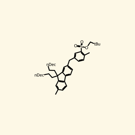 CCCCCCCCCCCCC1(CCCCCCCCCCCC)c2cc(C)ccc2-c2ccc(Cc3ccc(C)c(S(=O)(=O)OCC(C)(C)C)c3)cc21